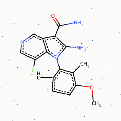 COc1ccc(C)c(-n2c(N)c(C(N)=O)c3cncc(F)c32)c1C